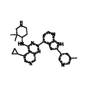 Cc1cncc(-c2cc3c(-c4nc(NC5CCNCC5(C)C)c5c(C6CC6)cncc5n4)ccnc3[nH]2)c1